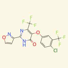 O=c1[nH]c(-c2ccon2)nc(C(F)(F)F)c1Oc1ccc(Cl)c(C(F)(F)F)c1